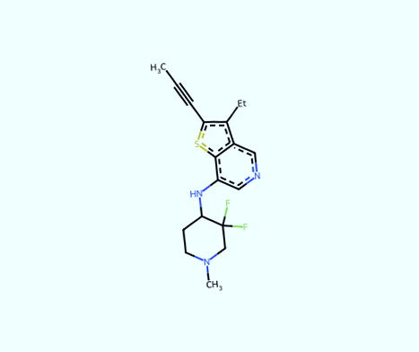 CC#Cc1sc2c(NC3CCN(C)CC3(F)F)cncc2c1CC